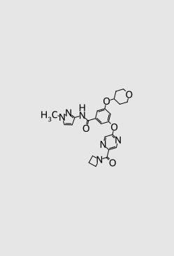 Cn1ccc(NC(=O)c2cc(Oc3cnc(C(=O)N4CCC4)cn3)cc(OC3CCOCC3)c2)n1